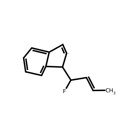 CC=CC(F)C1[C]=Cc2ccccc21